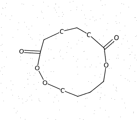 O=C1CCCCC(=O)OOCCCCO1